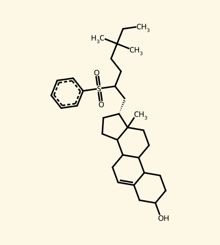 CCC(C)(C)CCC(C[C@H]1CCC2C3CC=C4CC(O)CCC4C3CCC21C)S(=O)(=O)c1ccccc1